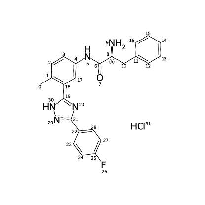 Cc1ccc(NC(=O)[C@@H](N)Cc2ccccc2)cc1-c1nc(-c2ccc(F)cc2)n[nH]1.Cl